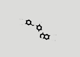 COc1ccc(CN(C(=O)O)c2cc(C)c(Oc3ccnc4cc(OC)c(OC)cc34)cc2C)cc1OC